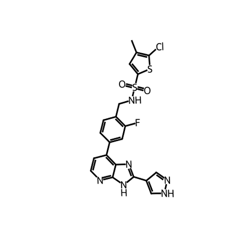 Cc1cc(S(=O)(=O)NCc2ccc(-c3ccnc4[nH]c(-c5cn[nH]c5)nc34)cc2F)sc1Cl